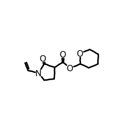 C=CN1CCC(C(=O)OC2CCCCO2)C1=O